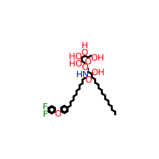 CCCCCCCCCCCCCCC[C@@H](O)[C@H](CO[C@H]1OC(CO)[C@H](O)[C@H](O)C1O)NC(=O)CCCCCCCCCCc1ccc(Oc2ccc(F)c(F)c2)cc1